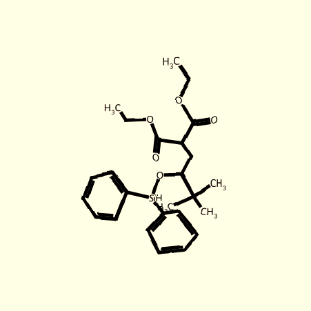 CCOC(=O)C(CC(O[SiH](c1ccccc1)c1ccccc1)C(C)(C)C)C(=O)OCC